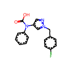 O=C(O)N(c1ccccc1)c1cnn(Cc2ccc(F)cc2)c1